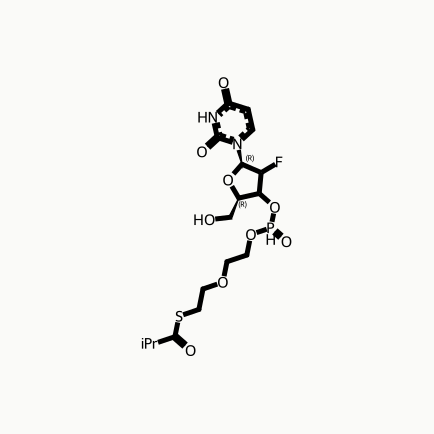 CC(C)C(=O)SCCOCCO[PH](=O)OC1C(F)[C@H](n2ccc(=O)[nH]c2=O)O[C@@H]1CO